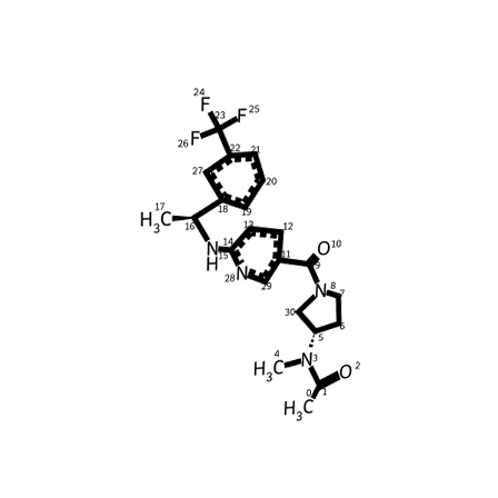 CC(=O)N(C)[C@H]1CCN(C(=O)c2ccc(N[C@@H](C)c3cccc(C(F)(F)F)c3)nc2)C1